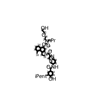 CCCC(C)c1cc(C(=O)Nc2ccc3nc(C(=O)N4CCc5c4cc(OC(=O)N(CCC)CCOCCO)c4cccc(C)c54)cn3c2)ccc1O